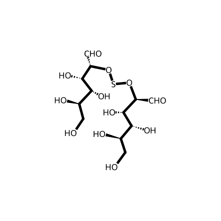 O=C[C@H](OSO[C@@H](C=O)[C@@H](O)[C@H](O)[C@H](O)CO)[C@@H](O)[C@H](O)[C@H](O)CO